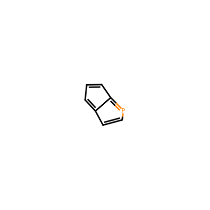 [C]1=CP=C2C=CC=C12